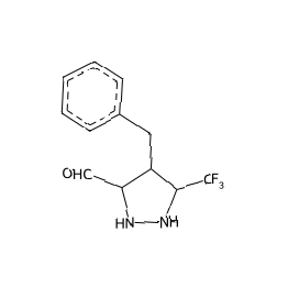 O=CC1NNC(C(F)(F)F)C1Cc1ccccc1